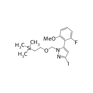 COc1cccc(F)c1-c1cc(I)nn1COCC[Si](C)(C)C